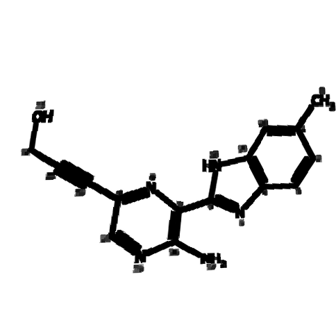 Cc1ccc2nc(-c3nc(C#CCO)cnc3N)[nH]c2c1